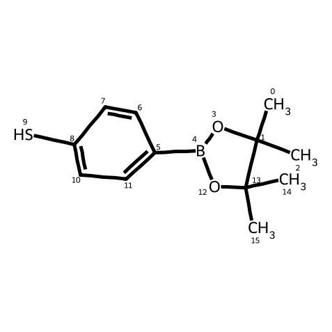 CC1(C)OB(c2ccc(S)cc2)OC1(C)C